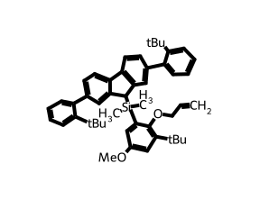 C=CCOc1c(C(C)(C)C)cc(OC)cc1[Si](C)(C)C1c2cc(-c3ccccc3C(C)(C)C)ccc2-c2ccc(-c3ccccc3C(C)(C)C)cc21